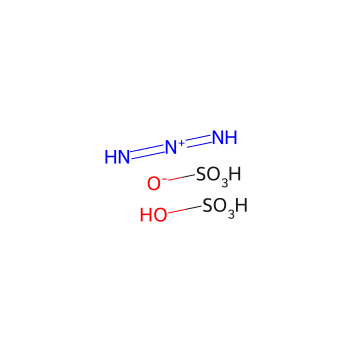 N=[N+]=N.O=S(=O)(O)O.O=S(=O)([O-])O